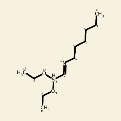 CCCCCCN=C[SiH](OCC)OCC